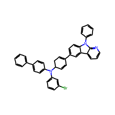 Brc1cccc(N(c2ccc(-c3ccccc3)cc2)C2C=CC(c3ccc4c(c3)c3cccnc3n4-c3ccccc3)=CC2)c1